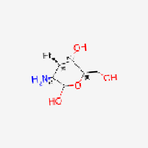 CC[C@H]1[C@H](O)[C@@H](CO)OC(O)[C@H]1N